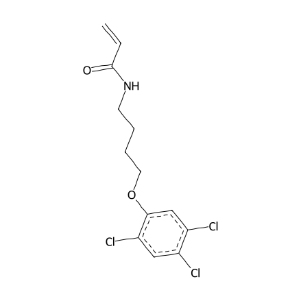 C=CC(=O)NCCCCOc1cc(Cl)c(Cl)cc1Cl